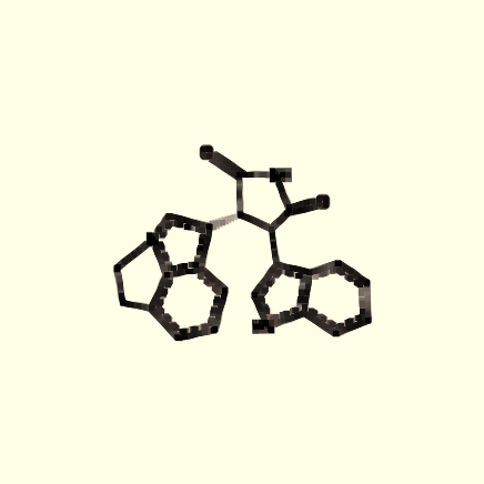 O=C1NC(=O)[C@@H](c2cn3c4c(cccc24)CC3)C1c1c[nH]c2ccccc12